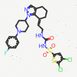 O=C(NC/C=C1\CCCc2cnn(C3CCN(c4ccc(F)cc4)CC3)c21)NS(=O)(=O)c1cc(Cl)c(Cl)s1